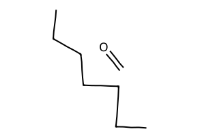 C=O.CCCCCCC